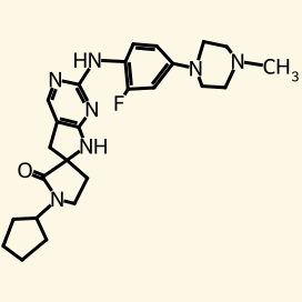 CN1CCN(c2ccc(Nc3ncc4c(n3)NC3(CCN(C5CCCC5)C3=O)C4)c(F)c2)CC1